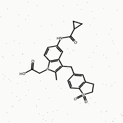 Cc1c(Cc2ccc3c(c2)CCS3(=O)=O)c2cc(NC(=O)C3CC3)ccc2n1CC(=O)O